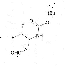 CC(C)(C)OC(=O)N[C@H](CC=O)C(F)F